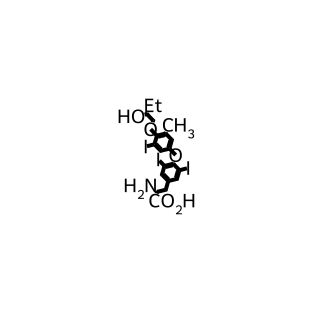 CCC(O)COc1c(C)cc(Oc2c(I)cc(CC(N)C(=O)O)cc2I)cc1I